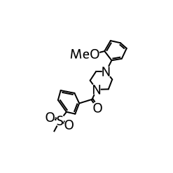 COc1ccccc1N1CCN(C(=O)c2cccc(S(C)(=O)=O)c2)CC1